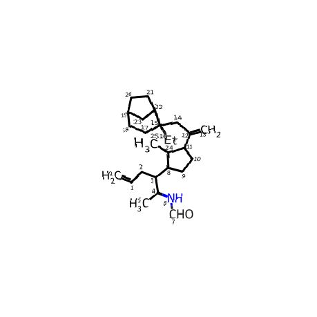 C=CCC(C(C)NC=O)C1CCC(C(=C)CC2(CC)CCC3CCC2C3)C1C